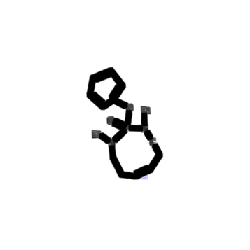 CCN1CC/C=C\CCN(CC)P1(=O)Oc1ccccc1